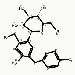 CCc1ccc(Cc2cc([C@@H]3O[C@H](CO)[C@@H](O)[C@H](O)[C@H]3O)c(CO)cc2C)cc1